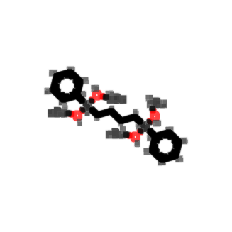 CCCCO[Si](CCCC[Si](OCCCC)(OCCCC)c1ccccc1)(OCCCC)c1ccccc1